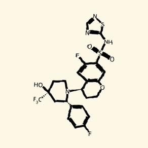 O=S(=O)(Nc1ncns1)c1cc2c(cc1F)[C@H](N1CC[C@@](O)(C(F)(F)F)C[C@H]1c1ccc(F)cc1)CCO2